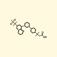 CC(C)(CC(=O)O)c1ccc(-c2cccc(-c3cc(C(C)(C)S(C)(=O)=O)cc4cccnc34)c2)cc1